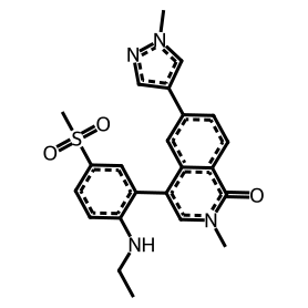 CCNc1ccc(S(C)(=O)=O)cc1-c1cn(C)c(=O)c2ccc(-c3cnn(C)c3)cc12